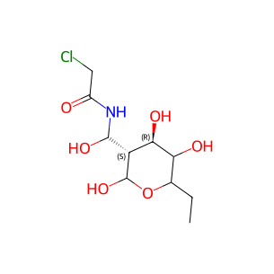 CCC1OC(O)[C@H](C(O)NC(=O)CCl)[C@@H](O)C1O